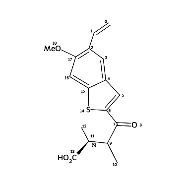 C=Cc1cc2cc(C(=O)C(C)[C@H](C)C(=O)O)sc2cc1OC